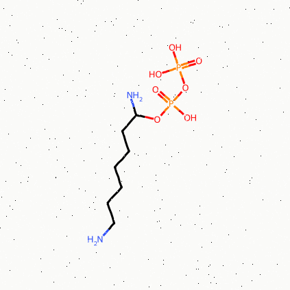 NCCCCCCC(N)OP(=O)(O)OP(=O)(O)O